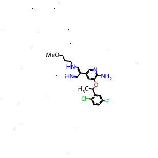 COCCCN/C=C(\C=N)c1cnc(N)c(OC(C)c2cc(F)ccc2Cl)c1